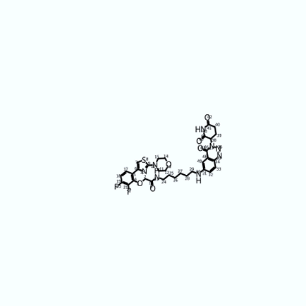 O=C(COc1c(-c2csc(N3CCOCC3)n2)ccc(F)c1F)NCCCCCCNc1ccc2nnn(C3CCC(=O)NC3=O)c(=O)c2c1